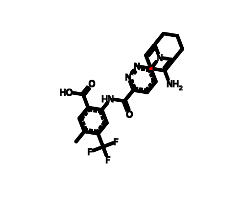 Cc1cc(C(=O)O)c(NC(=O)c2ccc(N3C4=CCC(N)=C3CCC4)nn2)cc1C(F)(F)F